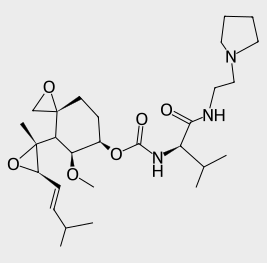 CO[C@H]1C([C@@]2(C)O[C@@H]2/C=C/C(C)C)[C@]2(CC[C@H]1OC(=O)N[C@@H](C(=O)NCCN1CCCC1)C(C)C)CO2